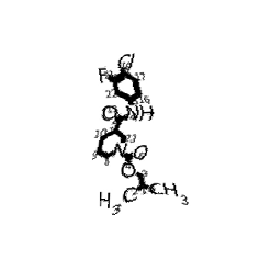 CC(C)COC(=O)N1CCCC(C(=O)Nc2ccc(Cl)c(F)c2)C1